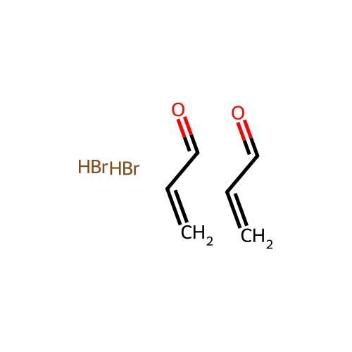 Br.Br.C=CC=O.C=CC=O